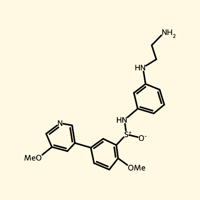 COc1cncc(-c2ccc(OC)c([S+]([O-])Nc3cccc(NCCN)c3)c2)c1